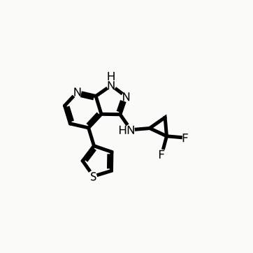 FC1(F)CC1Nc1n[nH]c2nccc(-c3ccsc3)c12